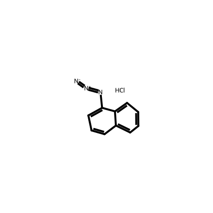 Cl.[N-]=[N+]=Nc1cccc2ccccc12